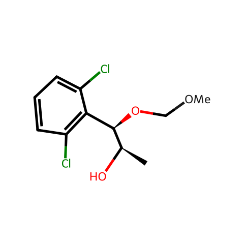 COCO[C@H](c1c(Cl)cccc1Cl)[C@@H](C)O